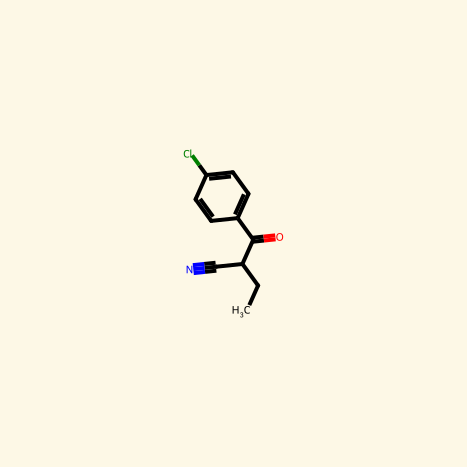 CCC(C#N)C(=O)c1ccc(Cl)cc1